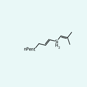 CCCCCCC=C[SiH2]C=C(C)C